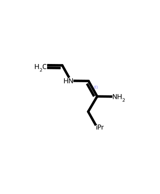 C=CN/C=C(/N)CC(C)C